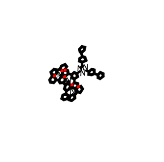 c1ccc(-c2ccc(-c3nc(-c4ccc(-c5ccccc5)cc4)nc(-c4cc(-c5ccccc5)c(-n5c6cc(-n7c8ccccc8c8ccccc87)c(-c7ccccc7)cc6c6cc(-c7ccccc7)c(-n7c8ccccc8c8ccccc87)cc65)c(-c5ccccc5)c4)n3)cc2)cc1